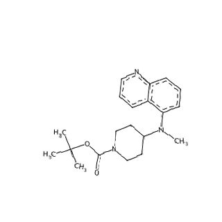 CN(c1cccc2ncccc12)C1CCN(C(=O)OC(C)(C)C)CC1